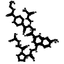 CCOC(=O)N1CCN(C(=O)[C@H](CCC(=O)O)NC(=O)c2cc(OCC(=O)N3CCC[C@H]3C(=O)NCC(F)F)c3ccc(C)cc3n2)CC1